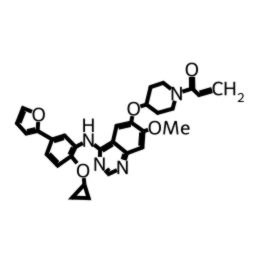 C=CC(=O)N1CCC(Oc2cc3c(Nc4cc(-c5ccco5)ccc4OC4CC4)ncnc3cc2OC)CC1